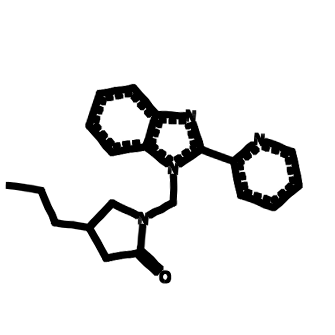 CCCC1CC(=O)N(Cn2c(-c3ccccn3)nc3ccccc32)C1